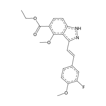 CCOC(=O)c1ccc2[nH]nc(C=Cc3ccc(OC)c(F)c3)c2c1OC